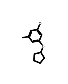 Cc1cc([O])cc(OC2CCCC2)c1